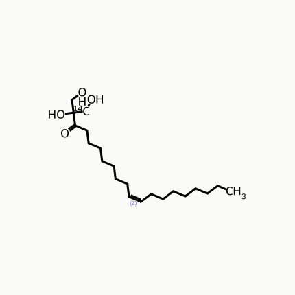 CCCCCCCC/C=C\CCCCCCCC(=O)C(O)(CO)[14CH2]O